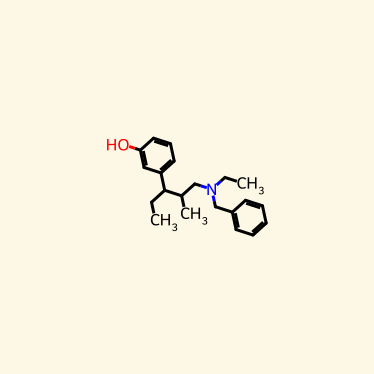 CCC(c1cccc(O)c1)C(C)CN(CC)Cc1ccccc1